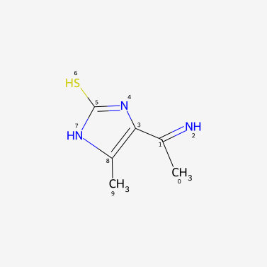 CC(=N)c1nc(S)[nH]c1C